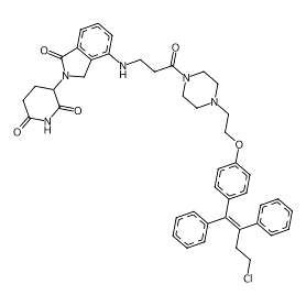 O=C1CCC(N2Cc3c(NCCC(=O)N4CCN(CCOc5ccc(C(=C(CCCl)c6ccccc6)c6ccccc6)cc5)CC4)cccc3C2=O)C(=O)N1